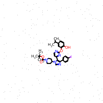 CC(C)c1ccc(O)c(Oc2nccc(-c3c(-c4ccc(I)cc4)ncn3C3CCN(C(=O)OC(C)(C)C)CC3)n2)c1